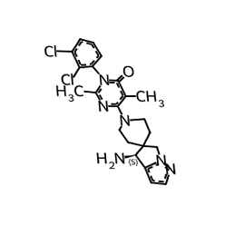 Cc1c(N2CCC3(CC2)Cn2nccc2[C@H]3N)nc(C)n(-c2cccc(Cl)c2Cl)c1=O